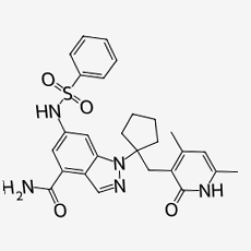 Cc1cc(C)c(CC2(n3ncc4c(C(N)=O)cc(NS(=O)(=O)c5ccccc5)cc43)CCCC2)c(=O)[nH]1